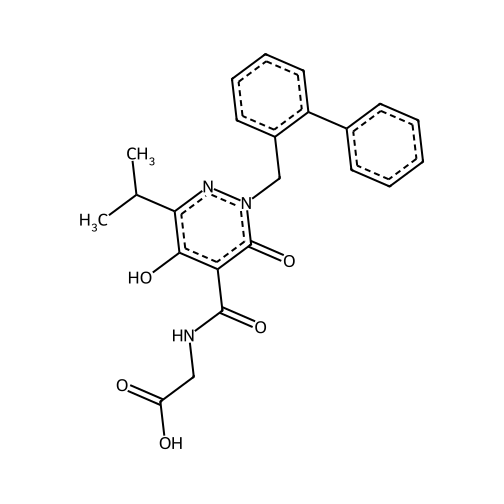 CC(C)c1nn(Cc2ccccc2-c2ccccc2)c(=O)c(C(=O)NCC(=O)O)c1O